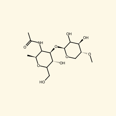 CO[C@@H]1CO[C@@H](O[C@@H]2C(NC(C)=O)[C@H](C)OC(CO)[C@H]2O)C(O)[C@H]1O